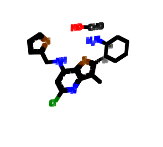 Cc1c([C@H]2CCCC[C@@H]2N)sc2c(NCc3cccs3)cc(Cl)nc12.O=CO